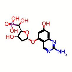 Nc1ncc2c(O[C@H]3C[C@H](O)[C@@H](C(O)P(=O)(O)O)O3)cc(O)cc2n1